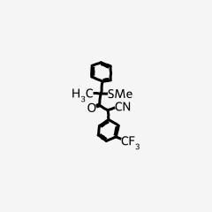 CSC(C)(C(=O)C(C#N)c1cccc(C(F)(F)F)c1)c1ccccc1